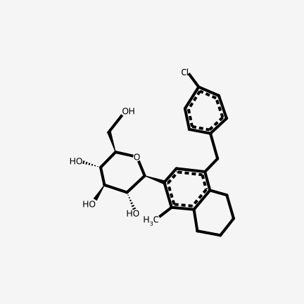 Cc1c([C@@H]2O[C@H](CO)[C@@H](O)[C@H](O)[C@H]2O)cc(Cc2ccc(Cl)cc2)c2c1CCCC2